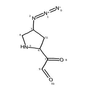 [N-]=[N+]=NC1CNC(C(=O)C=O)C1